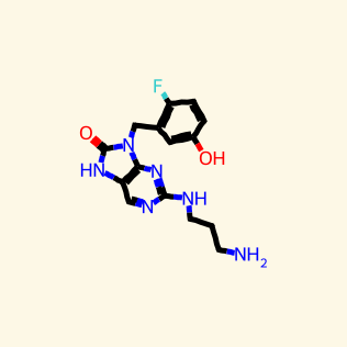 NCCCNc1ncc2[nH]c(=O)n(Cc3cc(O)ccc3F)c2n1